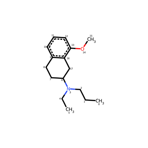 CCCN(CC)C1CCc2cccc(OC)c2C1